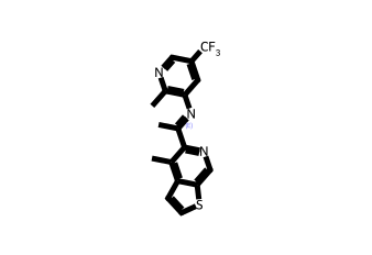 C/C(=N\c1cc(C(F)(F)F)cnc1C)c1ncc2sccc2c1C